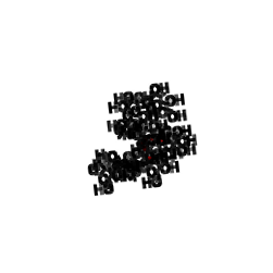 CC(=O)NC1C(O)[C@H](O[C@@H]2OC(CO[C@]3(OC=O)C[C@@H](O)[C@@H](C)C([C@H](O)C(O)CO)O3)[C@H](O)[C@H](O)C2O)[C@H](CO)O[C@H]1OC1[C@@H](OCC2O[C@@H](O[C@@H]3C(CO)O[C@@H](O[C@@H]4C(CO)O[C@@H](C)C(NC(C)=O)[C@H]4O)C(NC(C)=O)[C@H]3O)C(O)[C@@H](O[C@H]3OC(CO)[C@@H](O)C(O)C3O[C@@H]3OC(CO)[C@@H](O[C@@H]4OC(CO)[C@H](O)[C@H](O)C4O)[C@H](O)C3NC(C)=O)[C@@H]2O)OC(CO)[C@@H](O)[C@@H]1O